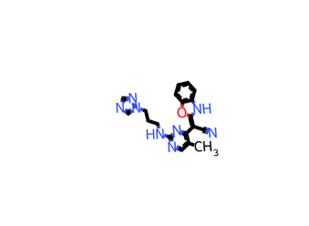 Cc1cnc(NCCCn2cncn2)nc1C(C#N)=C1Nc2ccccc2O1